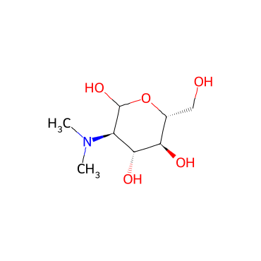 CN(C)[C@H]1C(O)O[C@H](CO)[C@@H](O)[C@@H]1O